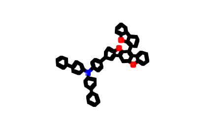 c1ccc(-c2ccc(N(c3ccc(-c4ccccc4)cc3)c3ccc(-c4ccc5oc6c(-c7cccc8c7oc7ccccc78)c7c(cc6c5c4)oc4ccccc47)cc3)cc2)cc1